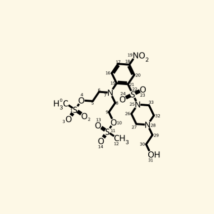 CS(=O)(=O)OCCN(CCOS(C)(=O)=O)c1ccc([N+](=O)[O-])cc1S(=O)(=O)N1CCN(CCO)CC1